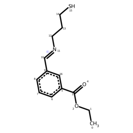 CCOC(=O)c1cccc(/C=N/CCCS)c1